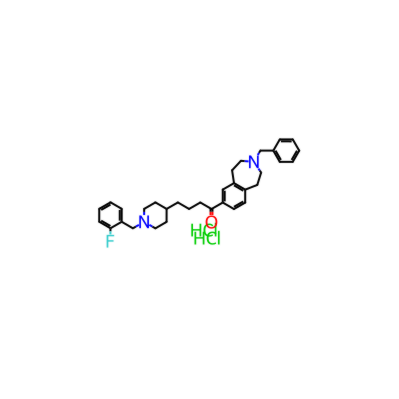 Cl.Cl.O=C(CCCC1CCN(Cc2ccccc2F)CC1)c1ccc2c(c1)CCN(Cc1ccccc1)CC2